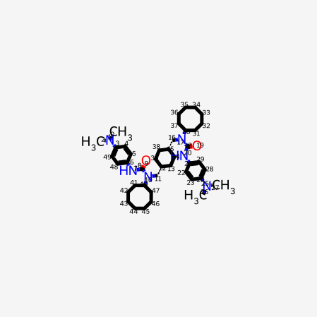 CN(C)c1ccc(NC(=O)N(C[C@H]2CC[C@@H](CN(C(=O)Nc3ccc(N(C)C)cc3)C3CCCCCCC3)CC2)C2CCCCCCC2)cc1